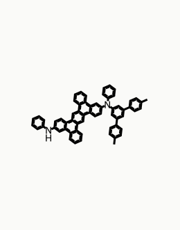 Cc1ccc(-c2cc(-c3ccc(C)cc3)cc(N(c3ccccc3)c3ccc4c(c3)c3ccccc3c3cc5c6ccc(Nc7ccccc7)cc6c6ccccc6c5cc43)c2)cc1